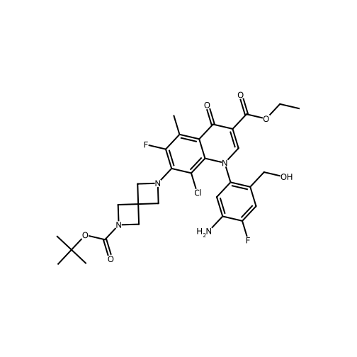 CCOC(=O)c1cn(-c2cc(N)c(F)cc2CO)c2c(Cl)c(N3CC4(CN(C(=O)OC(C)(C)C)C4)C3)c(F)c(C)c2c1=O